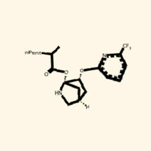 CCCCCC(C)C(=O)O[C@]12C[C@H](CN1)C[C@H]2Oc1cccc(C(F)(F)F)n1